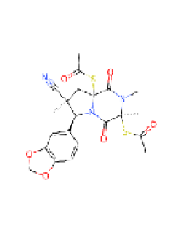 CC(=O)S[C@@]1(C)C(=O)N2[C@@H](c3ccc4c(c3)OCO4)[C@@](C)(C#N)C[C@]2(SC(C)=O)C(=O)N1C